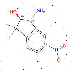 CC1(C)c2ccc([N+](=O)[O-])cc2[C@@H](N)[C@@H]1O